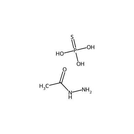 CC(=O)NN.OP(O)(O)=S